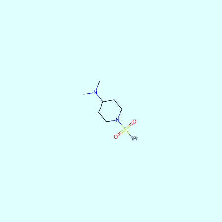 CC(C)S(=O)(=O)N1CCC(N(C)C)CC1